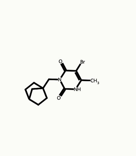 Cc1[nH]c(=O)n(CC23CCC(CC2)C3)c(=O)c1Br